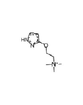 C[N+](C)(C)CCOc1cc[nH]n1